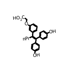 CCCC(=C(c1ccc(O)cc1)c1ccc(O)cc1)c1cccc(OCC(=O)O)c1